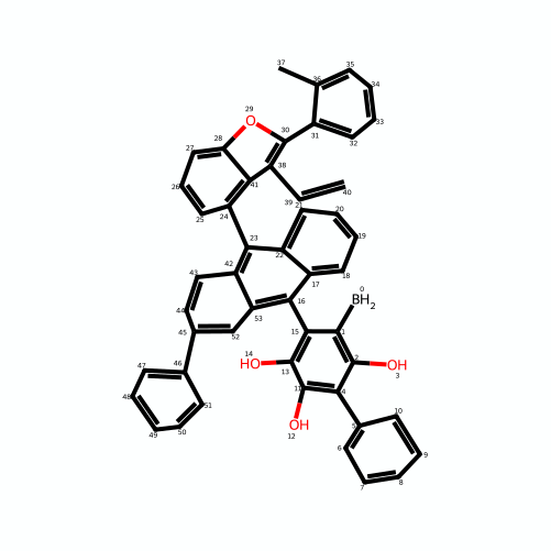 Bc1c(O)c(-c2ccccc2)c(O)c(O)c1-c1c2ccccc2c(-c2cccc3oc(-c4ccccc4C)c(C=C)c23)c2ccc(-c3ccccc3)cc12